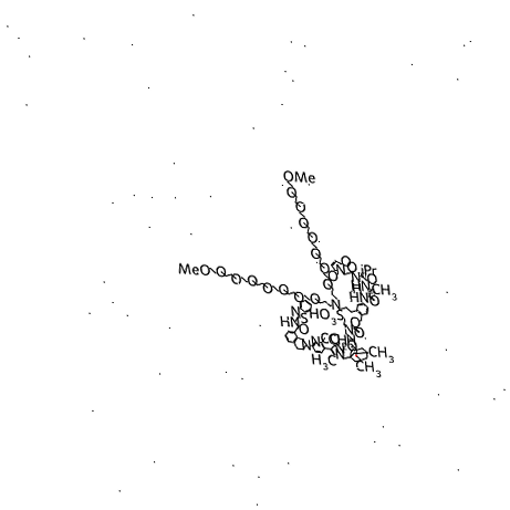 COCCOCCOCCOCCOCCOCCOCCOCCCN(CCCOCCOCCOCCOCCOCCOCCOCCOC)CCCc1cc(NC(=O)[C@H](C)NC(=O)[C@@H](NC(=O)CN2C(=O)C=CC2=O)C(C)C)ccc1COC(=O)N(CCOC12CC3(C)CC(C)(CC(Cn4nc(C)c(-c5ccc(N6CCc7cccc(C(=O)Nc8nc9ccccc9s8)c7C6)nc5C(=O)O)c4C)(C3)C1)C2)CCS(=O)(=O)O